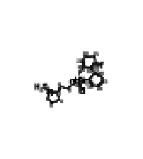 CN1CCCC1CCOC(=O)Nc1ccccc1-c1c(F)cccc1F